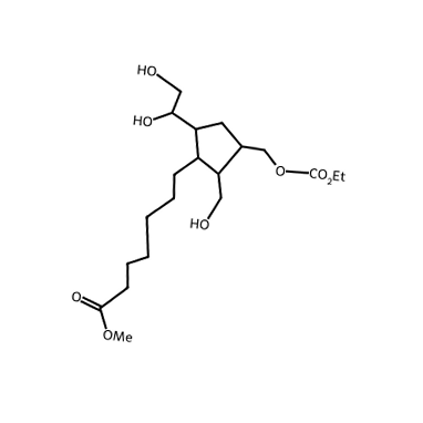 CCOC(=O)OCC1CC(C(O)CO)C(CCCCCCC(=O)OC)C1CO